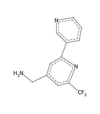 NCc1cc(-c2cccnc2)nc(C(F)(F)F)c1